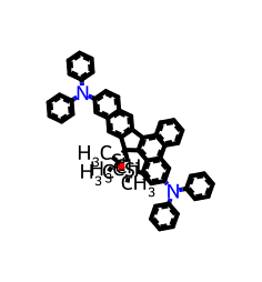 C[Si](C)(C)C12c3cc4cc(N(c5ccccc5)c5ccccc5)ccc4cc3-c3c1c1c(cc(N(c4ccccc4)c4ccccc4)cc1c1ccccc31)[Si]2(C)C